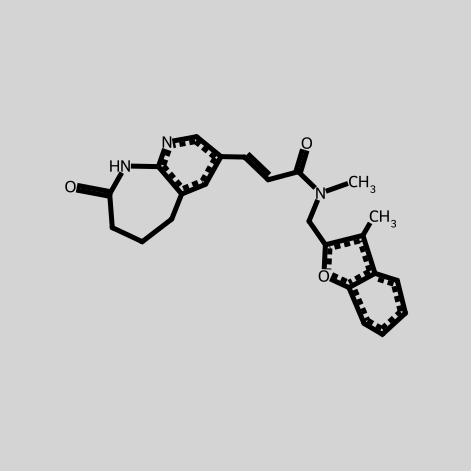 Cc1c(CN(C)C(=O)C=Cc2cnc3c(c2)CCCC(=O)N3)oc2ccccc12